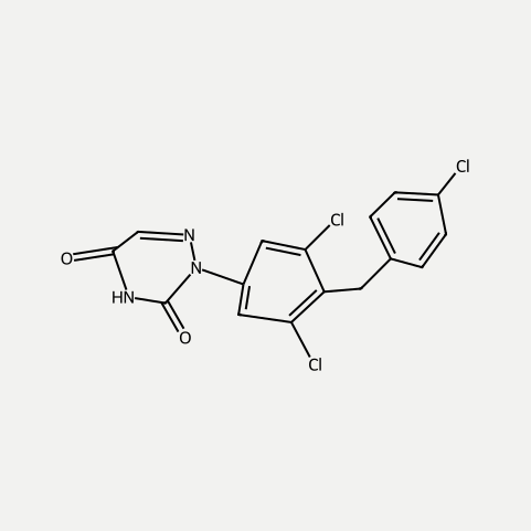 O=c1cnn(-c2cc(Cl)c(Cc3ccc(Cl)cc3)c(Cl)c2)c(=O)[nH]1